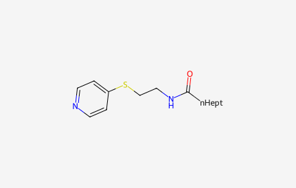 CCCCCCCC(=O)NCCSc1ccncc1